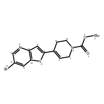 CC(C)(C)OC(=O)N1CC=C(c2cc3ncc(Br)cc3s2)CC1